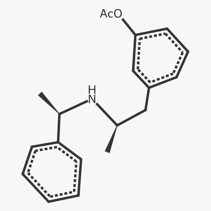 CC(=O)Oc1cccc(C[C@@H](C)N[C@H](C)c2ccccc2)c1